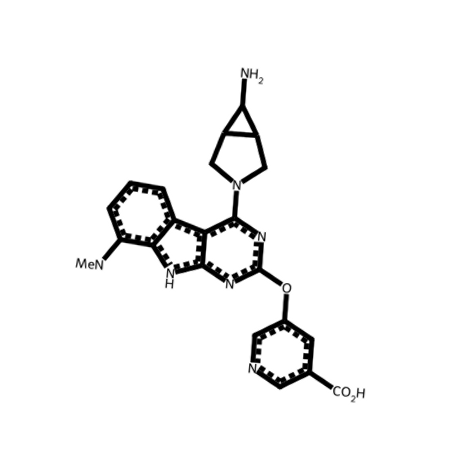 CNc1cccc2c1[nH]c1nc(Oc3cncc(C(=O)O)c3)nc(N3CC4C(N)C4C3)c12